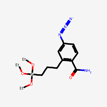 CCO[Si](CCCc1cc(N=[N+]=[N-])ccc1C(N)=O)(OCC)OCC